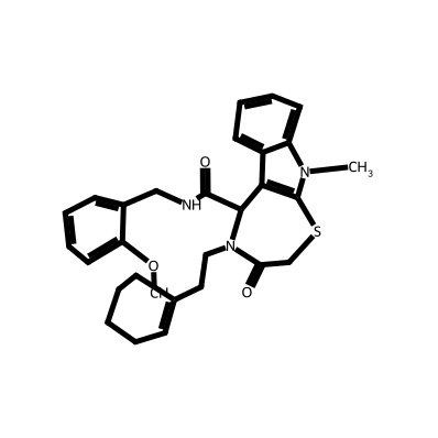 COc1ccccc1CNC(=O)C1c2c(n(C)c3ccccc23)SCC(=O)N1CCC1=CCCCC1